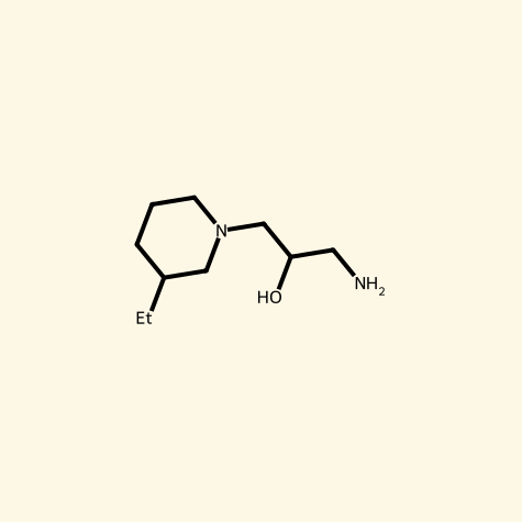 CCC1CCCN(CC(O)CN)C1